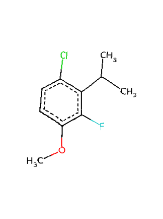 COc1ccc(Cl)c(C(C)C)c1F